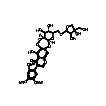 COc1cc(OC)c(-c2coc3cc4c(c(O)c3c2=O)OO[C@H]2C(O)[C@H](O)C(COC3OCC(O)(CO)C3O)O[C@H]2O4)cc1OC